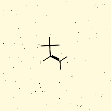 OC(F)(F)C(F)=C(F)F.[LiH]